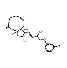 C=C1CCC/C=C\C[C@@H]2[C@@H](/C=C/C(O)COc3cccc(Cl)c3)[C@H](O)C[C@@H]2O1